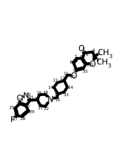 CC1(C)CC(=O)c2ccc(OCC3CCC(CN4CCC(c5noc6cc(F)ccc56)CC4)CC3)cc2O1